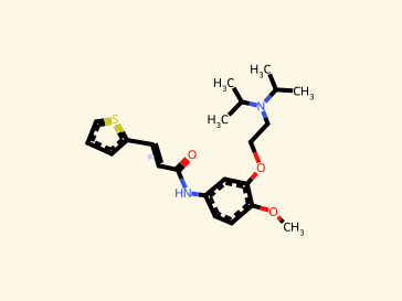 COc1ccc(NC(=O)/C=C/c2cccs2)cc1OCCN(C(C)C)C(C)C